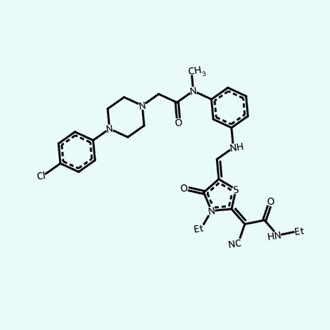 CCNC(=O)C(C#N)=c1sc(=CNc2cccc(N(C)C(=O)CN3CCN(c4ccc(Cl)cc4)CC3)c2)c(=O)n1CC